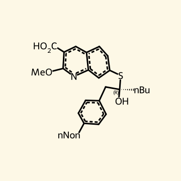 CCCCCCCCCc1ccc(C[C@@](O)(CCCC)Sc2ccc3cc(C(=O)O)c(OC)nc3c2)cc1